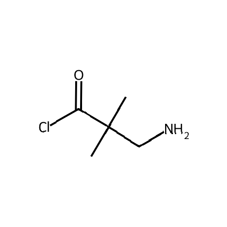 CC(C)(CN)C(=O)Cl